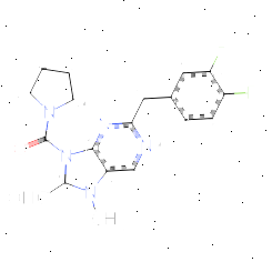 CN1c2cnc(Cc3ccc(F)c(F)c3)nc2N(C(=O)N2CCCC2)C1C=O